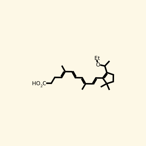 CCOC(C)C1=C(C=CC(C)=CC=CC(C)=CCCC(=O)O)C(C)(C)CC1